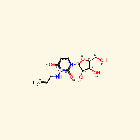 C=CCNn1c(=O)ccn([C@@H]2O[C@H](CO)[C@@H](O)[C@H]2O)c1=O